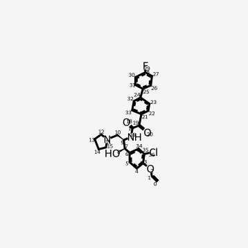 C=COc1ccc([C@@H](O)[C@@H](CN2CCCC2)NC(=O)C(=O)c2ccc(-c3ccc(F)cc3)cc2)cc1Cl